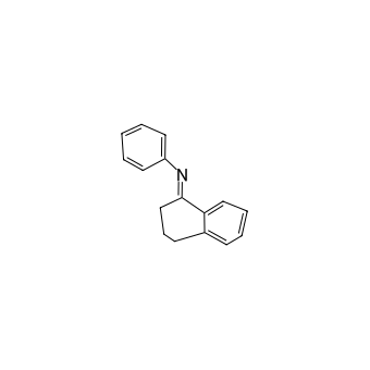 c1ccc(N=C2CCCc3ccccc32)cc1